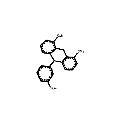 COc1cccc(C2c3cccc(OC)c3Cc3c(OC)cccc32)c1